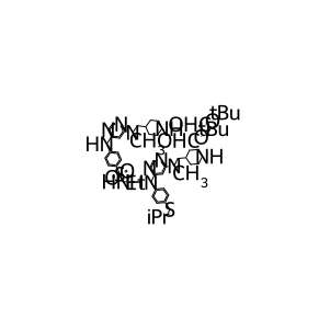 CC(C)(C)OC=O.CC(C)(C)OC=O.CC(C)Sc1ccc(Nc2cc(N(C)CC3CCNCC3)ncn2)cc1.CCNS(=O)(=O)c1ccc(Nc2cc(N(C)CC3CCNCC3)ncn2)cc1